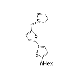 CCCCCCc1ccc(-c2ccc(C=S3C=CCC3)s2)s1